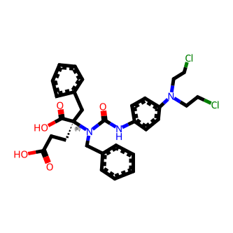 O=C(O)CC[C@@](Cc1ccccc1)(C(=O)O)N(Cc1ccccc1)C(=O)Nc1ccc(N(CCCl)CCCl)cc1